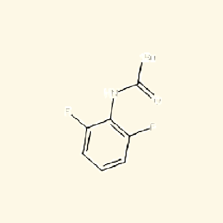 CC(C)(C)C(=O)Nc1c(F)cccc1F